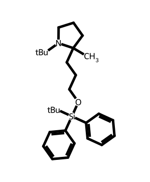 CC(C)(C)N1CCCC1(C)CCCO[Si](c1ccccc1)(c1ccccc1)C(C)(C)C